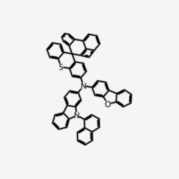 c1ccc2c(c1)Sc1cc(N(c3ccc4c(c3)oc3ccccc34)c3ccc4c5ccccc5n(-c5cccc6ccccc56)c4c3)ccc1C21c2ccccc2-c2cccc3cccc1c23